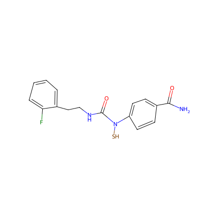 NC(=O)c1ccc(N(S)C(=O)NCCc2ccccc2F)cc1